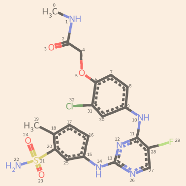 CNC(=O)COc1ccc(Nc2nc(Nc3ccc(C)c(S(N)(=O)=O)c3)ncc2F)cc1Cl